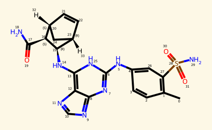 Cc1ccc(Nc2nc3ncnc-3c(N[C@H]3[C@@H](C(N)=O)[C@@H]4C=C[C@H]3C4)[nH]2)cc1S(N)(=O)=O